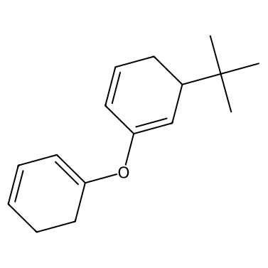 CC(C)(C)C1C=C(OC2=CC=CCC2)C=CC1